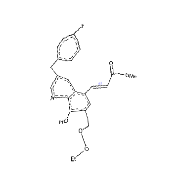 CCOOCc1cc(/C=C/C(=O)OC)c2cc(Cc3ccc(F)cc3)cnc2c1O